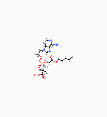 CCCCCOC(=O)COP(=O)(CO[C@@H](C)Cn1cnc2c(N)ncnc21)NC(C)(C)C(=O)O